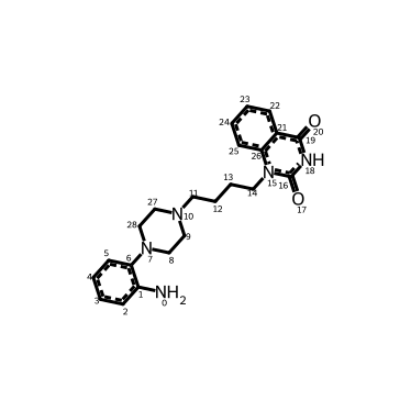 Nc1ccccc1N1CCN(CCCCn2c(=O)[nH]c(=O)c3ccccc32)CC1